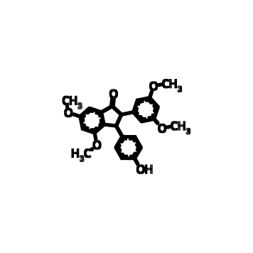 COc1cc(OC)cc(C2C(=O)c3cc(OC)cc(OC)c3C2c2ccc(O)cc2)c1